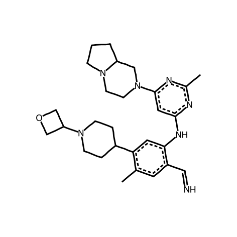 Cc1nc(Nc2cc(C3CCN(C4COC4)CC3)c(C)cc2C=N)cc(N2CCN3CCCC3C2)n1